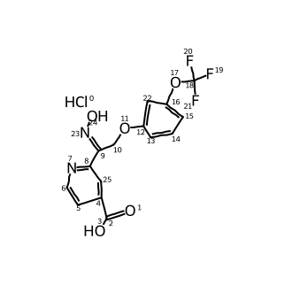 Cl.O=C(O)c1ccnc(C(COc2cccc(OC(F)(F)F)c2)=NO)c1